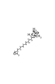 CCCCCCCCCCCCCCCC(C)(C)C(N)=O